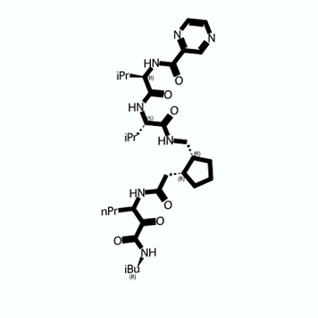 CCCC(NC(=O)C[C@H]1CCC[C@H]1CNC(=O)[C@@H](NC(=O)[C@H](NC(=O)c1cnccn1)C(C)C)C(C)C)C(=O)C(=O)N[C@H](C)CC